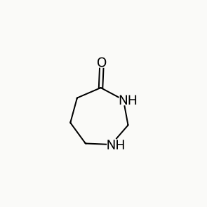 O=C1CCCNCN1